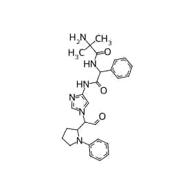 CC(C)(N)C(=O)NC(C(=O)Nc1cn(C(C=O)C2CCCN2c2ccccc2)cn1)c1ccccc1